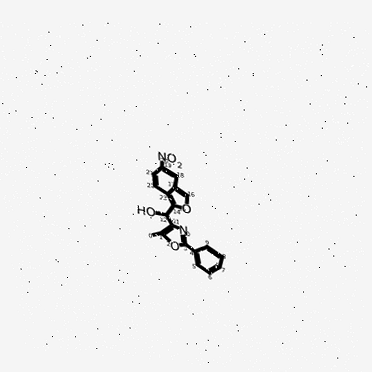 Cc1oc(-c2ccccc2)nc1C(O)c1occ2cc([N+](=O)[O-])ccc12